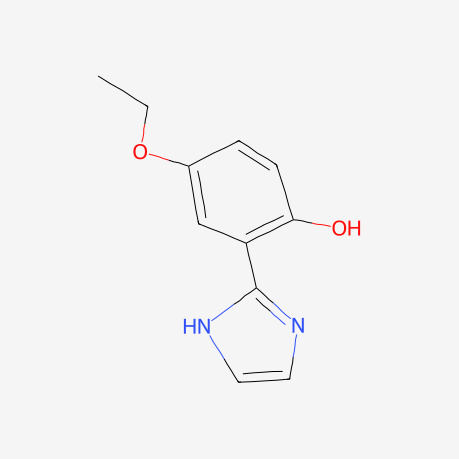 CCOc1ccc(O)c(-c2ncc[nH]2)c1